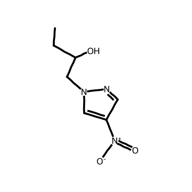 CCC(O)Cn1cc([N+](=O)[O-])cn1